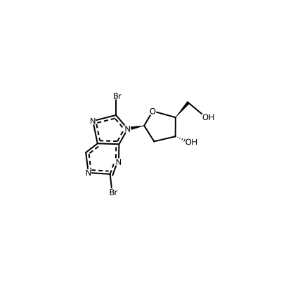 OC[C@@H]1O[C@H](n2c(Br)nc3cnc(Br)nc32)C[C@H]1O